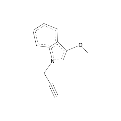 C#CCn1cc(OC)c2ccccc21